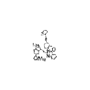 COc1ccc2[nH]cc(C=Cc3nc4ccccc4c(=O)n3-c3ccc(C#Cc4cccs4)cc3C)c2c1